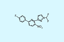 O=[N+]([O-])c1ccc(-c2ccc(F)cc2)nc1-c1ccn(C(F)F)n1